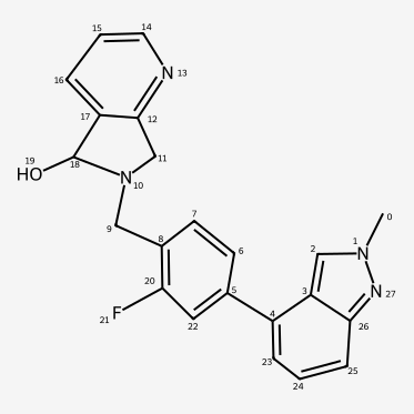 Cn1cc2c(-c3ccc(CN4Cc5ncccc5C4O)c(F)c3)cccc2n1